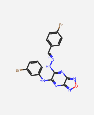 Brc1ccc(/C=N/Nc2nc3nonc3nc2Nc2cccc(Br)c2)cc1